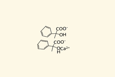 CC(O)(C(=O)[O-])c1ccccc1.CC(O)(C(=O)[O-])c1ccccc1.[Ca+2]